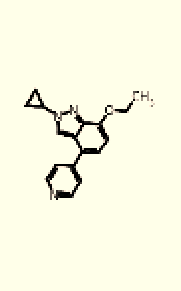 CCOc1ccc(-c2ccncc2)c2cn(C3CC3)nc12